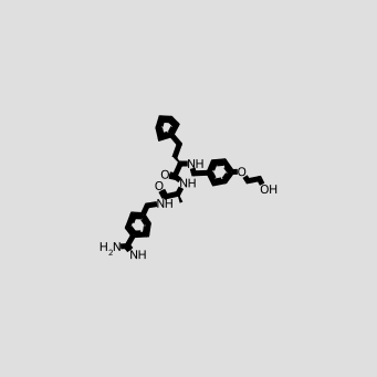 C[C@H](NC(=O)[C@@H](CCc1ccccc1)NCc1ccc(OCCO)cc1)C(=O)NCc1ccc(C(=N)N)cc1